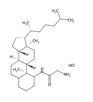 CC(C)CCC[C@@H](C)[C@H]1CC[C@H]2[C@@H]3CCC4CCCC(NC(=O)CN)[C@]4(C)[C@H]3CC[C@]12C.Cl